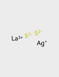 [Ag+].[La+3].[S-2].[S-2]